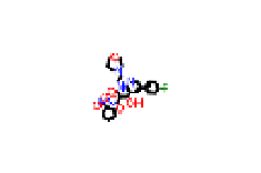 O=C(NC1(C(=O)O)CCCCC1)c1c(O)c2cc(-c3ccc(F)cc3)cnc2n(CCN2CCCOCC2)c1=O